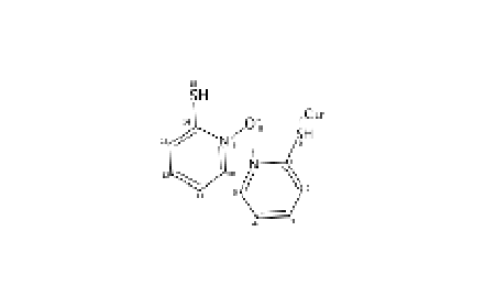 Sc1ccccn1.[Cu].[O-][n+]1ccccc1S